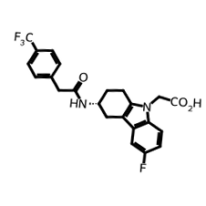 O=C(O)Cn1c2c(c3cc(F)ccc31)C[C@H](NC(=O)Cc1ccc(C(F)(F)F)cc1)CC2